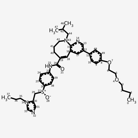 CCCCOCCOc1ccc(-c2cnc3c(c2)/C=C(/C(=O)Nc2ccc([S@@+]([O-])Cc4cncn4CCC)cc2)CCCN3CC(C)C)cc1